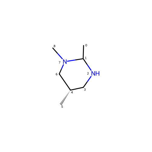 CC1NC[C@H](C)CN1C